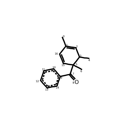 CC1=CC(C)C(C)(C(=O)c2ccccc2)C=C1